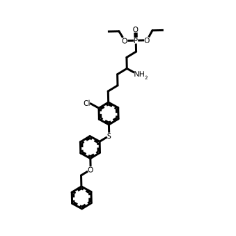 CCOP(=O)(CCC(N)CCCc1ccc(Sc2cccc(OCc3ccccc3)c2)cc1Cl)OCC